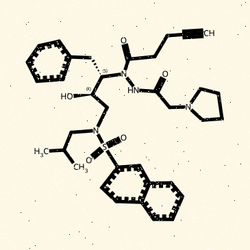 C#CCCC(=O)N(NC(=O)CN1CCCC1)[C@@H](Cc1ccccc1)[C@H](O)CN(CC(C)C)S(=O)(=O)c1ccc2ccccc2c1